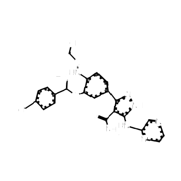 CC(Oc1cc(-c2n[nH]c(Nc3cnccn3)c2C(N)=O)ccc1NSCC(F)(F)F)c1ccc(Cl)cc1